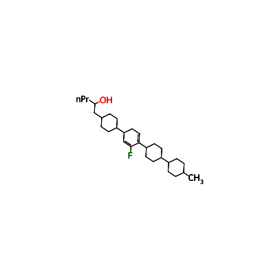 CCCC(O)CC1CCC(C2C=C(F)C(C3CCC(C4CCC(C)CC4)CC3)=CC2)CC1